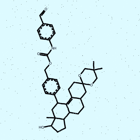 CC1(C)COC2(CCC3=C4C(c5ccc(COC(=O)Nc6ccc(C=O)cc6)cc5)CC5(C)C(O)CCC5C4CCC3C2)OC1